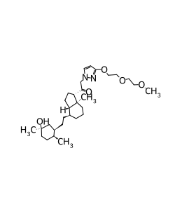 COCCOCCOc1ccn(CC(=O)[C@H]2CC[C@H]3[C@H](CC[C@@H]4C[C@](C)(O)CC[C@@H]4C)CCC[C@]23C)n1